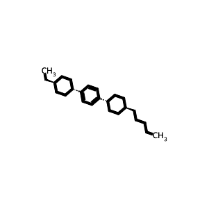 CCCCC[C@H]1CC[C@H](c2ccc([C@H]3CC[C@H](CC)CC3)cc2)CC1